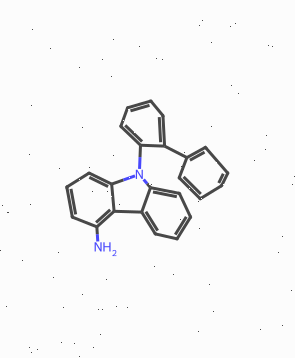 Nc1cccc2c1c1ccccc1n2-c1ccccc1-c1ccccc1